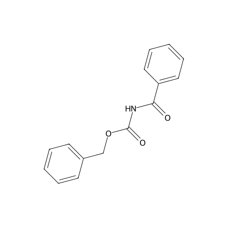 O=C(NC(=O)c1ccccc1)OCc1ccccc1